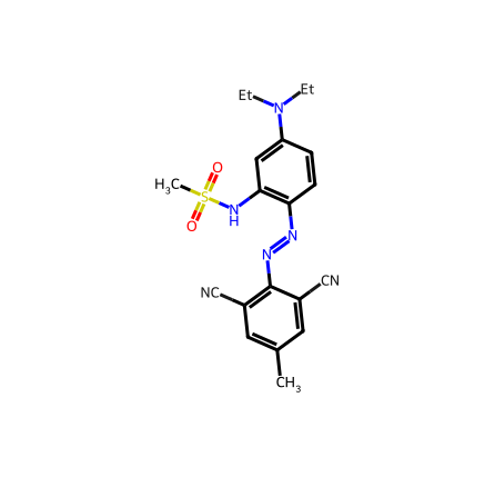 CCN(CC)c1ccc(N=Nc2c(C#N)cc(C)cc2C#N)c(NS(C)(=O)=O)c1